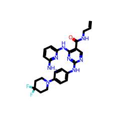 C=CCNC(=O)c1cnc(Nc2ccc(N3CCC(F)(F)CC3)cc2)nc1Nc1cccc(N)n1